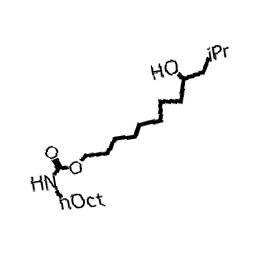 CCCCCCCCNC(=O)OCCCCCCCCC(O)CC(C)C